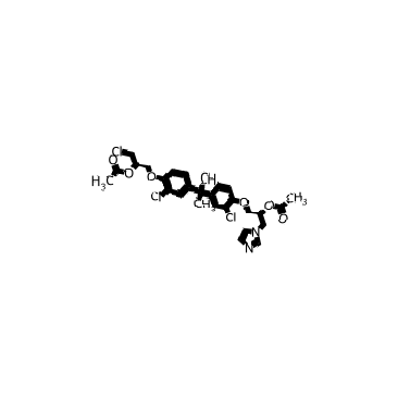 CC(=O)O[C@H](COc1ccc(C(C)(C)c2ccc(OC[C@H](CCl)OC(C)=O)c(Cl)c2)cc1Cl)Cn1ccnc1